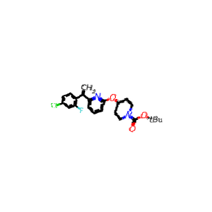 C=C(c1cccc(OC2CCN(C(=O)OC(C)(C)C)CC2)n1)c1ccc(Cl)cc1F